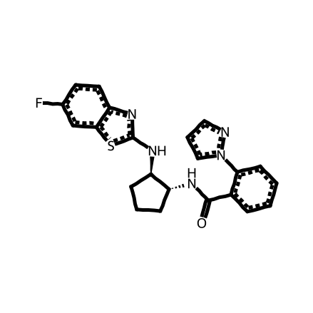 O=C(N[C@@H]1CCC[C@H]1Nc1nc2ccc(F)cc2s1)c1ccccc1-n1cccn1